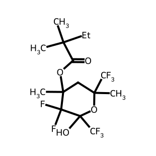 CCC(C)(C)C(=O)OC1(C)CC(C)(C(F)(F)F)OC(O)(C(F)(F)F)C1(F)F